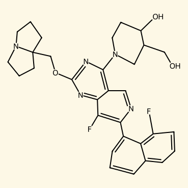 OCC1CN(c2nc(OCC34CCCN3CCC4)nc3c(F)c(-c4cccc5cccc(F)c45)ncc23)CCC1O